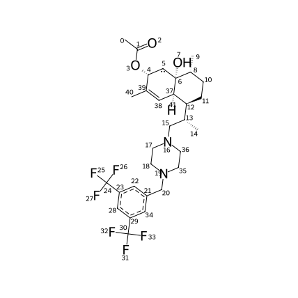 CC(=O)O[C@@H]1[C][C@@]2(O)[C@H](C)CC[C@@H]([C@H](C)CN3CCN(Cc4cc(C(F)(F)F)cc(C(F)(F)F)c4)CC3)[C@H]2C=C1C